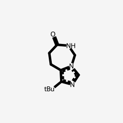 CC(C)(C)c1ncn2c1CCC(=O)NC2